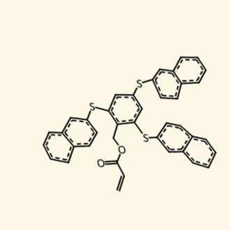 C=CC(=O)OCc1c(Sc2ccc3ccccc3c2)cc(Sc2ccc3ccccc3c2)cc1Sc1ccc2ccccc2c1